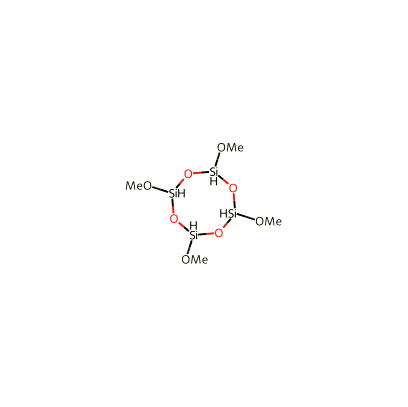 CO[SiH]1O[SiH](OC)O[SiH](OC)O[SiH](OC)O1